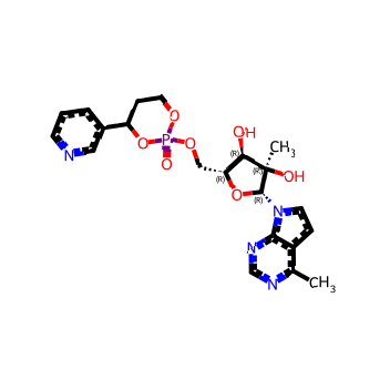 Cc1ncnc2c1ccn2[C@@H]1O[C@H](COP2(=O)OCCC(c3cccnc3)O2)[C@@H](O)[C@@]1(C)O